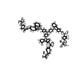 O=C(OCc1ccc2c(c1)c1ccccc1n2-c1ccc(N(c2ccc(-n3c4ccccc4c4cc(COC(=O)c5ccc(OC(F)=C(F)F)cc5)ccc43)cc2)c2ccc(-n3c4ccccc4c4cc(C(=O)c5ccc(OC(F)=C(F)F)cc5)ccc43)cc2)cc1)c1ccc(OC(F)=C(F)F)cc1